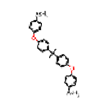 CC(C)(c1ccc(Oc2ccc([AsH2])cc2)cc1)c1ccc(Oc2ccc([AsH2])cc2)cc1